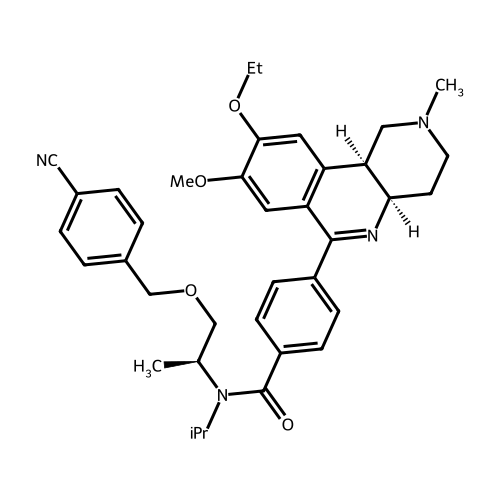 CCOc1cc2c(cc1OC)C(c1ccc(C(=O)N(C(C)C)[C@@H](C)COCc3ccc(C#N)cc3)cc1)=N[C@@H]1CCN(C)C[C@H]21